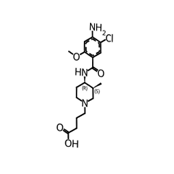 COc1cc(N)c(Cl)cc1C(=O)N[C@@H]1CCN(CCCC(=O)O)C[C@@H]1C